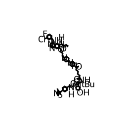 C=CC(=O)Nc1cc2c(Nc3ccc(F)c(Cl)c3)ncnc2cc1OCCCN1CCC(N2CCN(C(=O)CCCCC(=O)N[C@H](C(=O)N3C[C@H](O)C[C@H]3C(=O)NCc3ccc(-c4scnc4C)cc3)C(C)(C)C)CC2)CC1